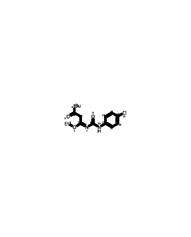 CCO/C(CC(=O)C(C)(C)C)=N/C(=O)Nc1ccc(Cl)cc1